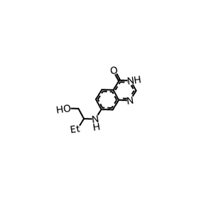 CCC(CO)Nc1ccc2c(=O)[nH]cnc2c1